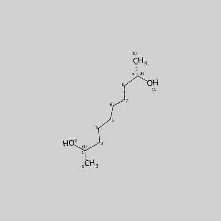 C[C@H](O)CCCCCC[C@H](C)O